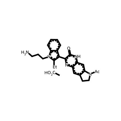 CC(=O)O.CCc1c(-c2nc3cc4c(cc3[nH]c2=O)N(C(C)=O)CC4)c2ccccc2n1CCCN